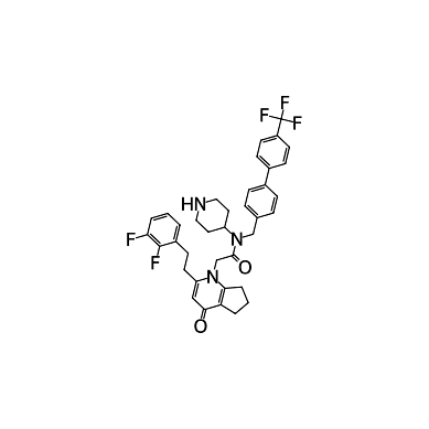 O=C(Cn1c(CCc2cccc(F)c2F)cc(=O)c2c1CCC2)N(Cc1ccc(-c2ccc(C(F)(F)F)cc2)cc1)C1CCNCC1